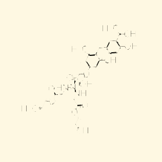 CCCOC(=O)CNN(NCC(=O)OCCC)P(=O)(O)COc1cc(C)c(Cc2ccc(O)c(C(C)C)c2)c(C)c1